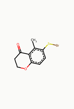 Cc1c(SBr)ccc2c1C(=O)CCO2